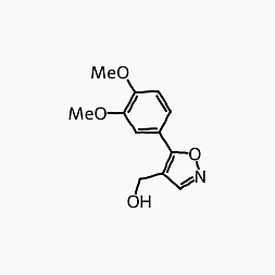 COc1ccc(-c2oncc2CO)cc1OC